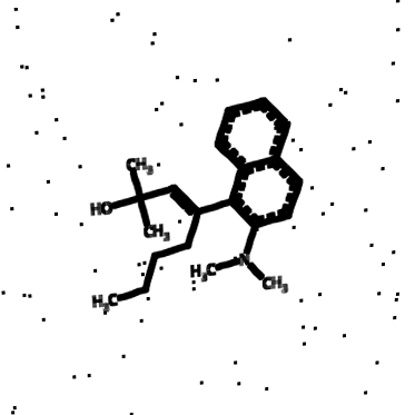 CCCCC(=CC(C)(C)O)c1c(N(C)C)ccc2ccccc12